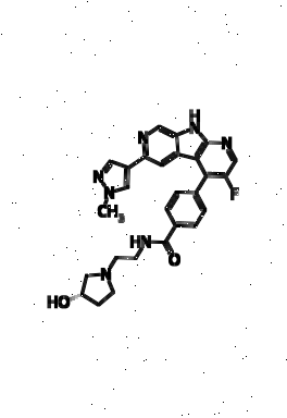 Cn1cc(-c2cc3c(cn2)[nH]c2ncc(F)c(-c4ccc(C(=O)NCCN5CC[C@H](O)C5)cc4)c23)cn1